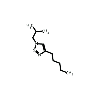 CCCCCc1cn(CC(C)C)nn1